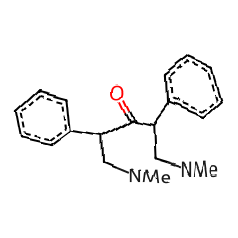 CNCC(C(=O)C(CNC)c1ccccc1)c1ccccc1